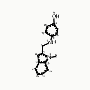 Cn1c(CNc2ccc(O)cc2)cc2ccccc21